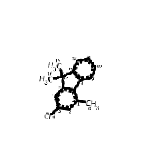 Cc1cc(Cl)cc2c1-c1ccccc1C2(C)C